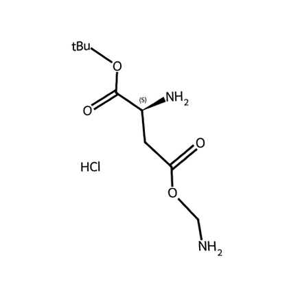 CC(C)(C)OC(=O)[C@@H](N)CC(=O)OCN.Cl